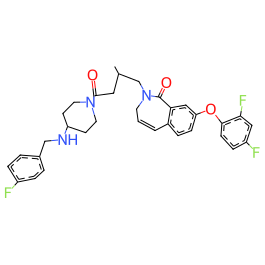 CC(CC(=O)N1CCC(NCc2ccc(F)cc2)CC1)CN1CC=Cc2ccc(Oc3ccc(F)cc3F)cc2C1=O